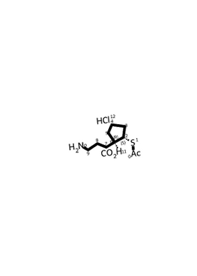 CC(=O)S[C@H]1CCC[C@@]1(CCCN)C(=O)O.Cl